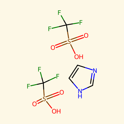 O=S(=O)(O)C(F)(F)F.O=S(=O)(O)C(F)(F)F.c1c[nH]cn1